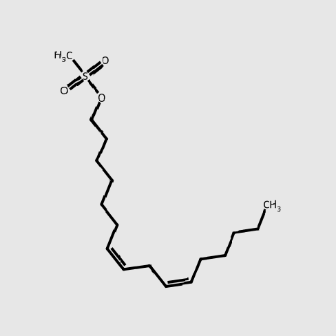 CCCCC/C=C\C/C=C\CCCCCCOS(C)(=O)=O